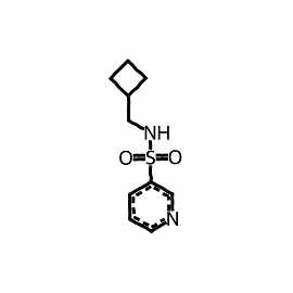 O=S(=O)(NCC1CCC1)c1cccnc1